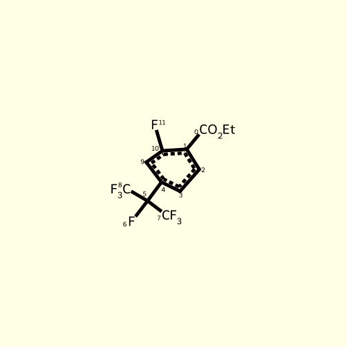 CCOC(=O)c1ccc(C(F)(C(F)(F)F)C(F)(F)F)cc1F